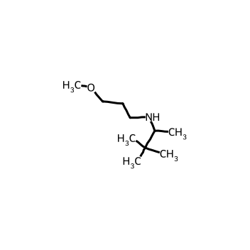 COCCCNC(C)C(C)(C)C